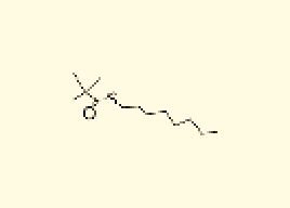 CCCCCCCCSC(=O)C(C)(C)C